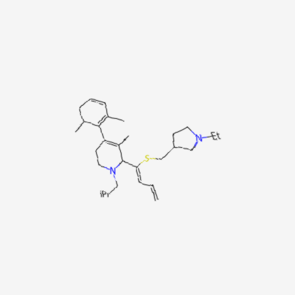 C=C/C=C(\SCC1CCN(CC)C1)C1C(C)=C(C2=C(C)C=CCC2C)CCN1CC(C)C